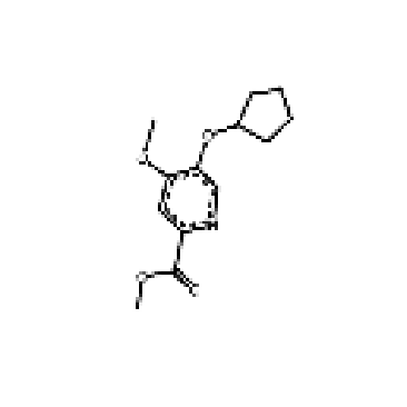 COC(=O)c1cc(OC)c(OC2CCCC2)cn1